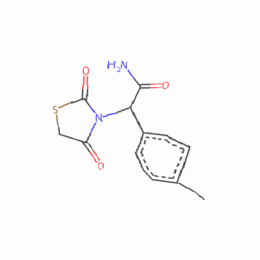 Cc1ccc(C(C(N)=O)N2C(=O)CSC2=O)cc1